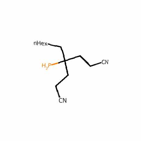 CCCCCCCC(P)(CCC#N)CCC#N